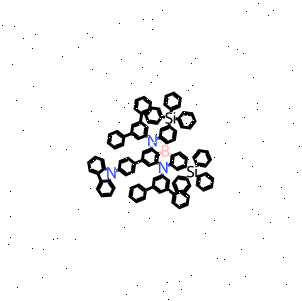 c1ccc(-c2cc(-c3ccccc3)cc(N3c4cc([Si](c5ccccc5)(c5ccccc5)c5ccccc5)ccc4B4c5ccc([Si](c6ccccc6)(c6ccccc6)c6ccccc6)cc5N(c5cc(-c6ccccc6)cc(-c6ccccc6)c5)c5cc(-c6ccc(-n7c8ccccc8c8ccccc87)cc6)cc3c54)c2)cc1